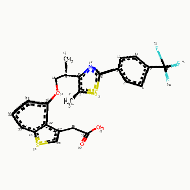 Cc1sc(-c2ccc(C(F)(F)F)cc2)nc1[C@H](C)COc1cccc2scc(CC(=O)O)c12